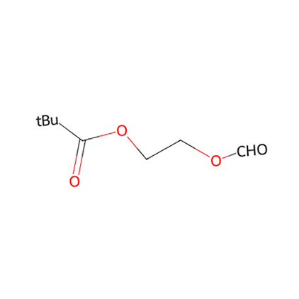 CC(C)(C)C(=O)OCCOC=O